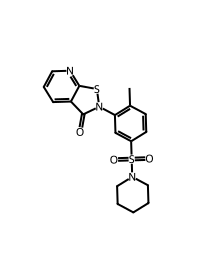 Cc1ccc(S(=O)(=O)N2CCCCC2)cc1-n1sc2ncccc2c1=O